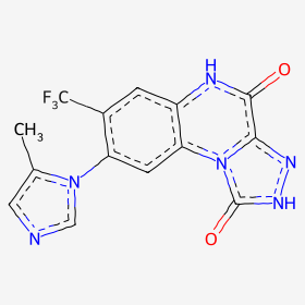 Cc1cncn1-c1cc2c(cc1C(F)(F)F)[nH]c(=O)c1n[nH]c(=O)n12